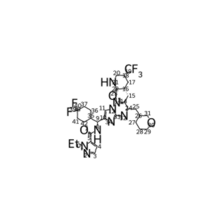 CCn1nccc1C(=O)N[C@H](c1cn2nc(C[C@H]3C[C@@H](C(F)(F)F)CNC3=O)c(CC3CCCOC3)nc2n1)C1CCC(F)(F)CC1